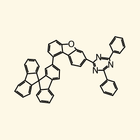 c1ccc(-c2nc(-c3ccccc3)nc(-c3ccc4c(c3)oc3cccc(-c5ccc6c(c5)C5(c7ccccc7-c7ccccc75)c5ccccc5-6)c34)n2)cc1